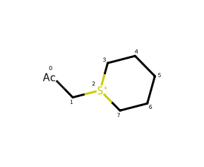 CC(=O)C[S+]1CCCCC1